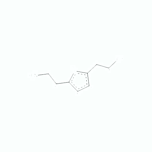 NCCc1ccc(CCCl)s1